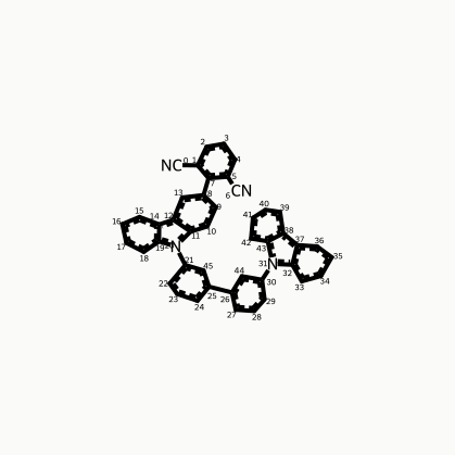 N#Cc1cccc(C#N)c1-c1ccc2c(c1)c1ccccc1n2-c1cccc(-c2cccc(-n3c4ccccc4c4ccccc43)c2)c1